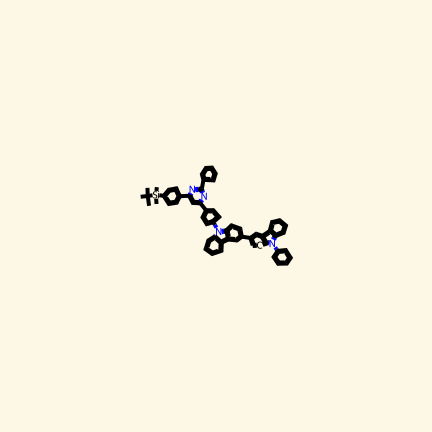 CC(C)(C)[Si](C)(C)c1ccc(-c2cc(-c3ccc(-n4c5ccccc5c5cc(-c6ccc7c(c6)c6ccccc6n7-c6ccccc6)ccc54)cc3)nc(-c3ccccc3)n2)cc1